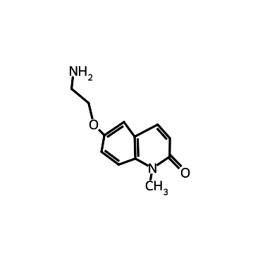 Cn1c(=O)ccc2cc(OCCN)ccc21